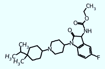 CCOC(=O)NC1C(=O)N(C2CCN(C3CCC(C)(C(C)C)CC3)CC2)c2ccc(F)cc21